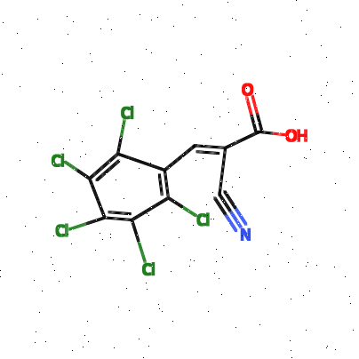 N#CC(=Cc1c(Cl)c(Cl)c(Cl)c(Cl)c1Cl)C(=O)O